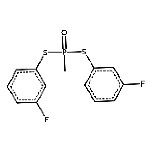 CP(=O)(Sc1cccc(F)c1)Sc1cccc(F)c1